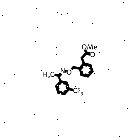 COC(=O)Cc1ccccc1CON=C(C)c1cccc(C(F)(F)F)c1